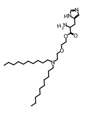 CCCCCCCCCCN(CCCCCCCCCC)CCOCCOC(=O)C(N)Cc1cnc[nH]1